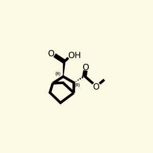 COC(=O)[C@@H]1C2CCC(C2)[C@H]1C(=O)O